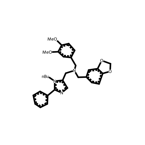 CCCCn1c(CN(Cc2ccc(OC)c(OC)c2)Cc2ccc3c(c2)OCO3)cnc1-c1ccccc1